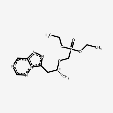 CCOP(=O)(CO[C@H](C)Cc1nnc2cncnn12)OCC